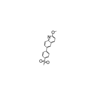 COc1ccc2cc(-c3ccc(S(C)(=O)=O)cc3)ccc2n1